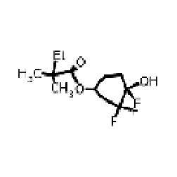 CCC(C)(C)C(=O)OC1CCC(O)(F)C(F)(F)C1